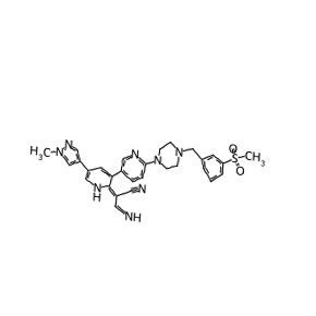 Cn1cc(C2=CN/C(=C(/C#N)C=N)C(c3ccc(N4CCN(Cc5cccc(S(C)(=O)=O)c5)CC4)nc3)=C2)cn1